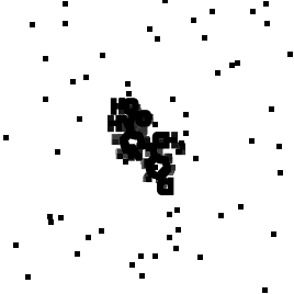 C=C(c1ccc(Cl)cc1)c1cc(NC(=O)O)ccn1